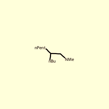 CCCCCC(CCCC)CNC